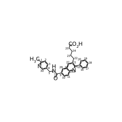 Cc1ccc(CNC(=O)c2ccc3nc(-c4ccccc4)c(CCCCC(=O)O)cc3c2)cn1